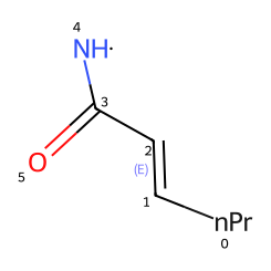 CCC/C=C/C([NH])=O